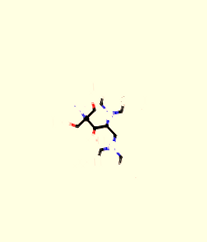 NC(CO)(CO)C(O)C(CN(CC(=O)O)CC(=O)O)N(CC(=O)O)CC(=O)O